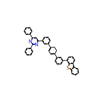 C1=C(c2cccc(-c3cc(-c4ccccc4)nc(-c4ccccc4)n3)c2)CCC(c2cccc(-c3cccc4c3sc3ccccc34)c2)=C1